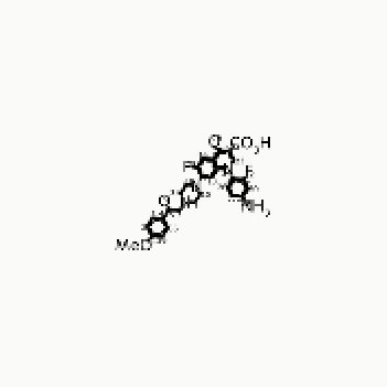 COc1ccc(C(=O)CN2CCN(c3cc4c(cc3F)c(=O)c(C(=O)O)cn4-c3ccc(N)cc3F)CC2)cc1